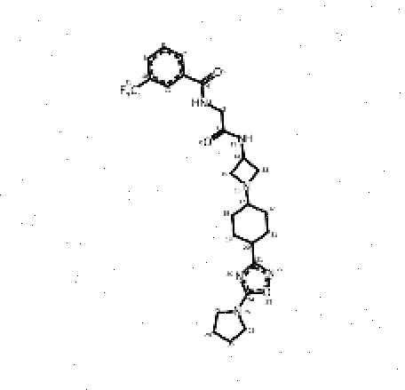 O=C(CNC(=O)c1cccc(C(F)(F)F)c1)NC1CN(C2CCC(c3noc(N4CCCC4)n3)CC2)C1